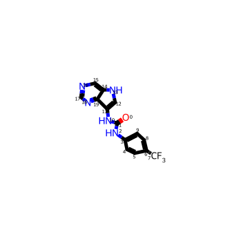 O=C(Nc1ccc(C(F)(F)F)cc1)Nc1c[nH]c2cncnc12